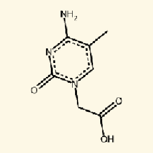 Cc1cn(CC(=O)O)c(=O)nc1N